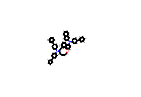 C1=CCC(c2ccc(N(C3C=CC(c4ccccc4)CC3)C3C/C=C\COc4ccc(N(C5=CC=C(c6ccccc6)CC5)c5ccc6ccccc6c5)c5cccc(c45)C3)cc2)=C1